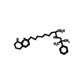 CC(C)(CNC(CCCCCCCc1ccc2c(n1)NCCC2)C(=O)O)c1ccccc1